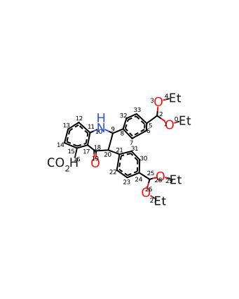 CCOC(OCC)c1ccc(C2Nc3cccc(C(=O)O)c3C(=O)C2c2ccc(C(OCC)OCC)cc2)cc1